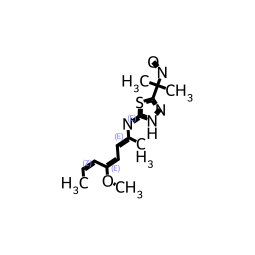 C\C=C/C(=C\C=C(C)\N=c1/[nH]nc(C(C)(C)N=O)s1)OC